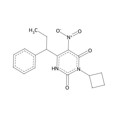 CCC(c1ccccc1)c1[nH]c(=O)n(C2CCC2)c(=O)c1[N+](=O)[O-]